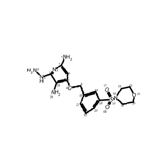 NNc1nc(N)cc(OCc2cccc(S(=O)(=O)N3CCOCC3)c2)c1N